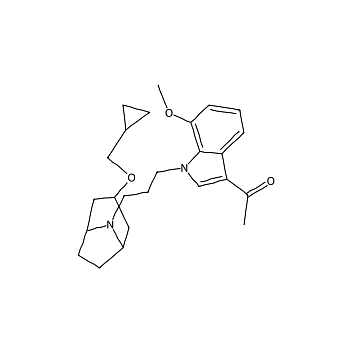 COc1cccc2c(C(C)=O)cn(CCCN3C4CCC3CC(OCC3CC3)C4)c12